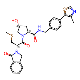 CSC[C@@H](C(=O)N1C[C@H](O)C[C@H]1C(=O)NCc1ccc(-c2scnc2C)cc1)N1Cc2ccccc2C1=O